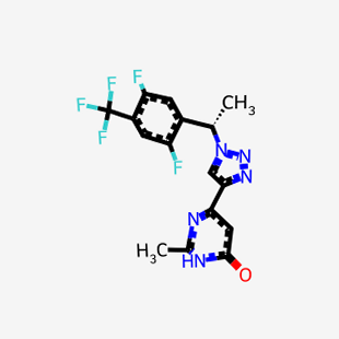 Cc1nc(-c2cn([C@@H](C)c3cc(F)c(C(F)(F)F)cc3F)nn2)cc(=O)[nH]1